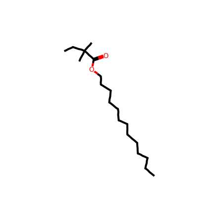 CCCCCCCCCCCCCOC(=O)C(C)(C)CC